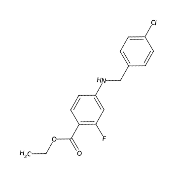 CCOC(=O)c1ccc(NCc2ccc(Cl)cc2)cc1F